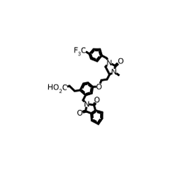 CN1C(=O)N(Cc2ccc(C(F)(F)F)cc2)CC1CCOc1ccc(CCC(=O)O)c(CN2C(=O)c3ccccc3C2=O)c1